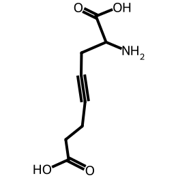 NC(CC#CCCC(=O)O)C(=O)O